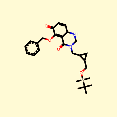 CC(C)(C)[Si](C)(C)OCC1CC1CN1CNC2C=CC(=O)C(OCc3ccccc3)=C2C1=O